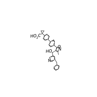 Cc1noc(-c2ccc(-c3ccc(C4(C(=O)O)CC4)cc3)cc2)c1C(O)c1cncc(Cc2ccccc2)c1